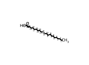 CCCCCCCCCCCCSCCCCCCCC=CC(=O)O